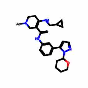 C=C(Nc1cccc(-c2ccnn2C2CCCCO2)c1)C1=C(NCC2CC2)CCN(C(C)=O)C1